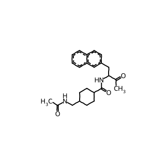 CC(=O)NCC1CCC(C(=O)NC(Cc2ccc3ccccc3c2)C(C)=O)CC1